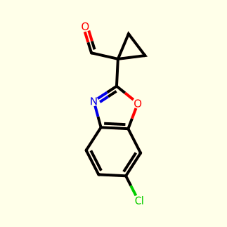 O=CC1(c2nc3ccc(Cl)cc3o2)CC1